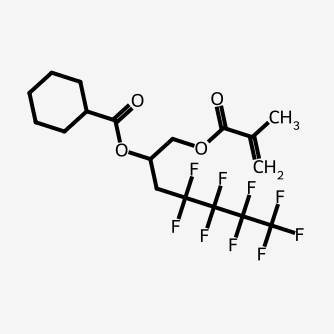 C=C(C)C(=O)OCC(CC(F)(F)C(F)(F)C(F)(F)C(F)(F)F)OC(=O)C1CCCCC1